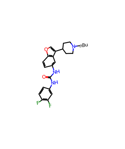 CCCCN1CCC(c2coc3ccc(NC(=O)Nc4ccc(F)c(F)c4)cc23)CC1